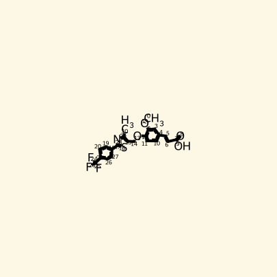 COc1cc(C=CC(=O)O)ccc1OCc1sc(-c2ccc(C(F)(F)F)cc2)nc1C